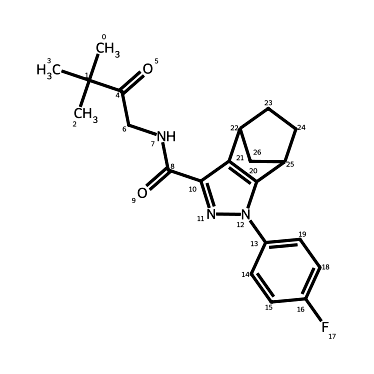 CC(C)(C)C(=O)CNC(=O)c1nn(-c2ccc(F)cc2)c2c1C1CCC2C1